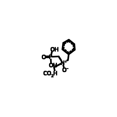 O=C(O)C[N+]([O-])(Cc1ccccc1)CP(=O)(O)O